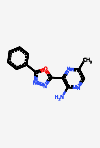 Cc1cnc(N)c(-c2nnc(-c3ccccc3)o2)n1